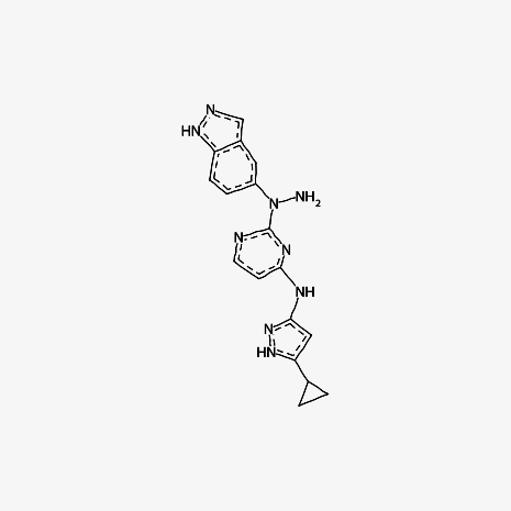 NN(c1ccc2[nH]ncc2c1)c1nccc(Nc2cc(C3CC3)[nH]n2)n1